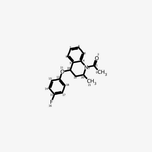 CC(=O)N1c2ccccc2C(Oc2ccc(F)cc2)CC1C